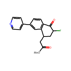 COC(=O)CC1CC(F)C(=O)c2ccc(-c3ccncc3)cc21